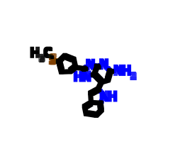 CSc1ccc(-c2nc3nc(N)cc(-c4cc5ccccc5[nH]4)c3[nH]2)cc1